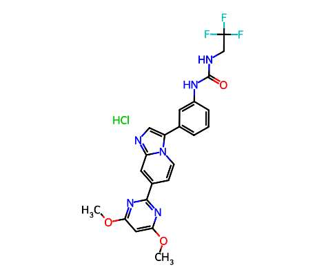 COc1cc(OC)nc(-c2ccn3c(-c4cccc(NC(=O)NCC(F)(F)F)c4)cnc3c2)n1.Cl